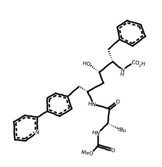 COC(=O)N[C@H](C(=O)N[C@H](Cc1ccc(-c2ccccn2)cc1)C[C@H](O)[C@H](Cc1ccccc1)NC(=O)O)C(C)(C)C